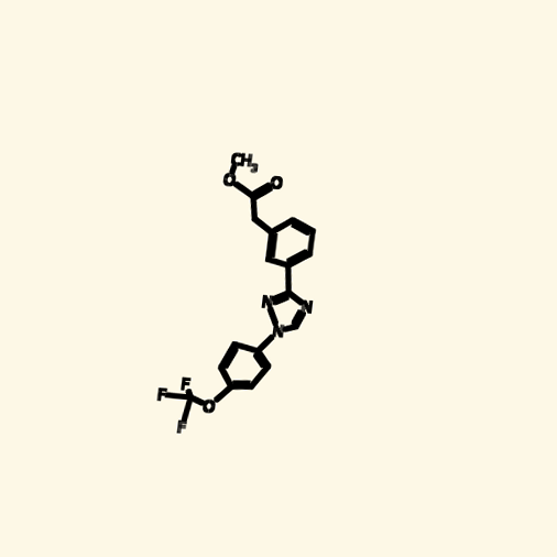 COC(=O)Cc1cccc(-c2ncn(-c3ccc(OC(F)(F)F)cc3)n2)c1